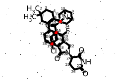 CC1(C)CCC(CN2C3CC2CN(C(=O)c2ccc4c(c2F)CN(C2CCC(=O)NC2=O)C4=O)C3)=C(c2ccc(Cl)cc2)C1